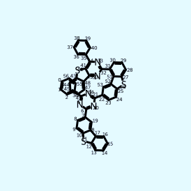 c1ccc(-c2nc(-c3ccc4sc5ccccc5c4c3)nc(-c3ccc4sc5cccc(-c6nc(-c7ccccc7)c7sc8ccccc8c7n6)c5c4c3)n2)cc1